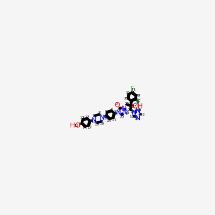 O=c1n(-c2ccc(N3CCN(c4ccc(O)cc4)CC3)cc2)cnn1CC(O)(Cn1cncn1)c1ccc(F)cc1F